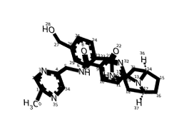 Cc1cnc(CNC(=O)c2ccc(N3[C@@H]4CC[C@H]3C[C@@H](NC(=O)c3ccc(CO)cc3)C4)nc2)cn1